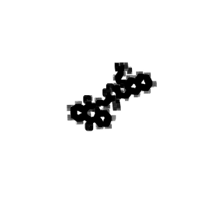 NCCNC(=O)C(Cc1ccc2ccccc2c1)NC(=O)CCn1c(=O)c2ccccc2c(=O)c2ccccc21